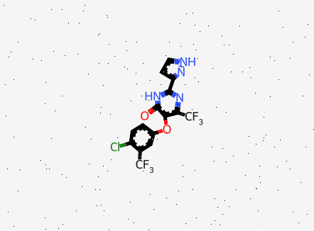 O=c1[nH]c(-c2cc[nH]n2)nc(C(F)(F)F)c1Oc1ccc(Cl)c(C(F)(F)F)c1